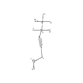 COCC#C[Si](C)(C)C(C)(C)C